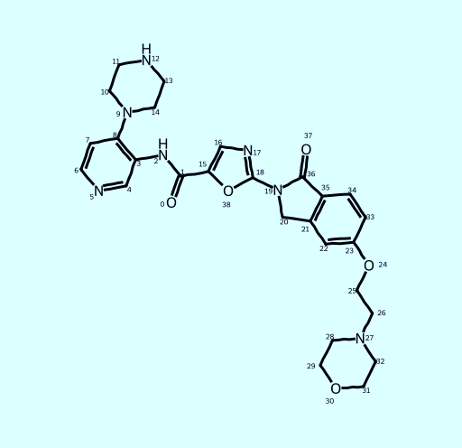 O=C(Nc1cnccc1N1CCNCC1)c1cnc(N2Cc3cc(OCCN4CCOCC4)ccc3C2=O)o1